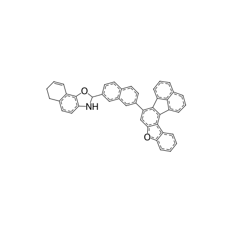 C1=Cc2c(ccc3c2OC(c2ccc4ccc(-c5cc6oc7ccccc7c6c6c5-c5cccc7cccc-6c57)cc4c2)N3)CC1